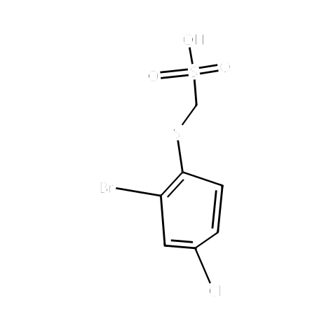 O=S(=O)(O)CSc1ccc(Cl)cc1Br